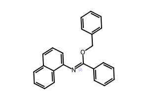 c1ccc(CO/C(=N\c2cccc3ccccc23)c2ccccc2)cc1